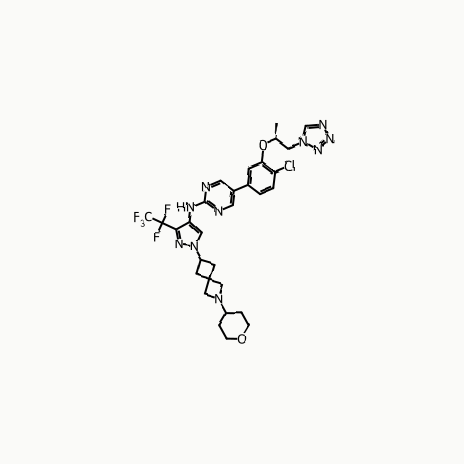 C[C@@H](Cn1cnnn1)Oc1cc(-c2cnc(Nc3cn(C4CC5(C4)CN(C4CCOCC4)C5)nc3C(F)(F)C(F)(F)F)nc2)ccc1Cl